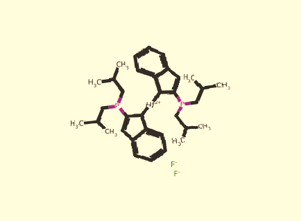 CC(C)CP(CC(C)C)C1=Cc2ccccc2[CH]1[Hf+2][CH]1C(P(CC(C)C)CC(C)C)=Cc2ccccc21.[F-].[F-]